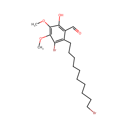 COc1c(O)c(C=O)c(CCCCCCCCCCBr)c(Br)c1OC